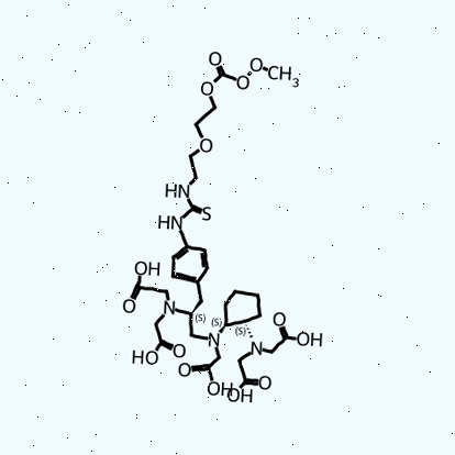 COOC(=O)OCCOCCNC(=S)Nc1ccc(C[C@@H](CN(CC(=O)O)[C@H]2CCCC[C@@H]2N(CC(=O)O)CC(=O)O)N(CC(=O)O)CC(=O)O)cc1